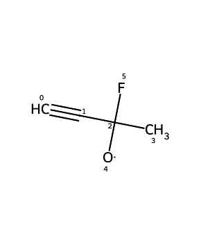 C#CC(C)([O])F